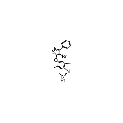 CCN(C)/C=N\c1cc(C)c(Oc2snc(-c3ccccc3)c2Br)cc1C